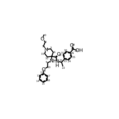 COCCN1CCC(NCCOc2ccccc2)(C(=O)NC(C)c2ccc(C(=O)O)cc2)CC1